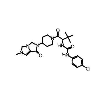 CN1C=C2C(=O)N(C3CCN(C(=O)[C@H](NC(=O)Nc4ccc(Cl)cc4)C(C)(C)C)CC3)CN2C1